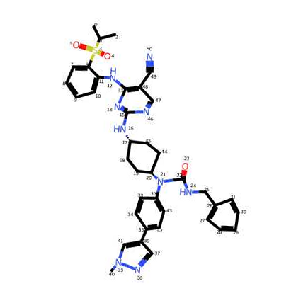 CC(C)S(=O)(=O)c1ccccc1Nc1nc(N[C@H]2CC[C@H](N(C(=O)NCc3ccccc3)c3ccc(-c4cnn(C)c4)cc3)CC2)ncc1C#N